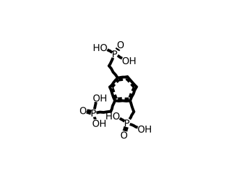 O=P(O)(O)Cc1ccc(CP(=O)(O)O)c(CP(=O)(O)O)c1